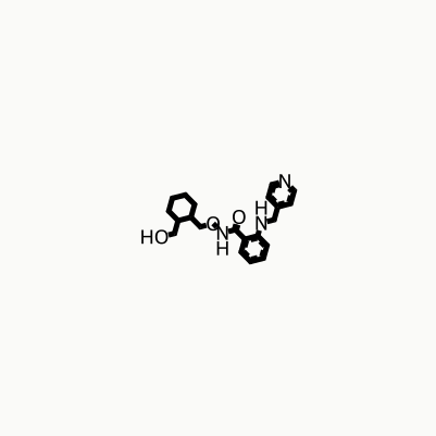 O=C(NOCC1CCCCC1CO)c1ccccc1NCc1ccncc1